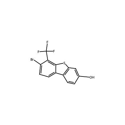 Oc1ccc2c(c1)sc1c(C(F)(F)F)c(Br)ccc12